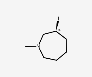 CN1CCCC[C@H](I)C1